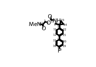 CNC(=O)COC(=O)NCC1(c2ccc(-c3ccc(F)cc3)cc2)CC1